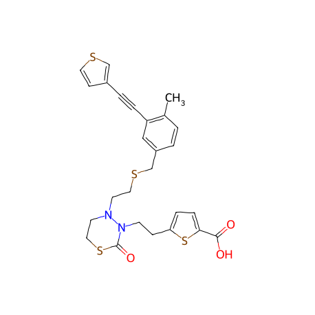 Cc1ccc(CSCCN2CCSC(=O)N2CCc2ccc(C(=O)O)s2)cc1C#Cc1ccsc1